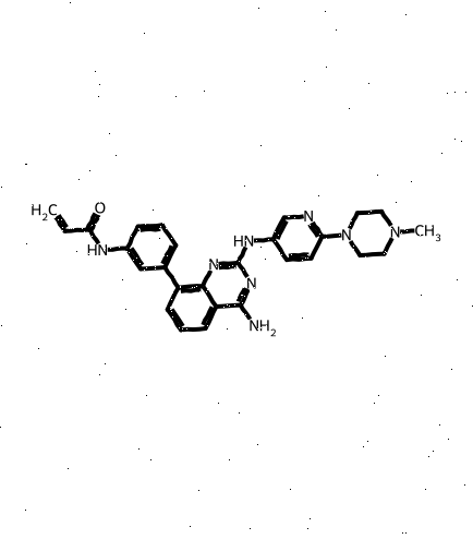 C=CC(=O)Nc1cccc(-c2cccc3c(N)nc(Nc4ccc(N5CCN(C)CC5)nc4)nc23)c1